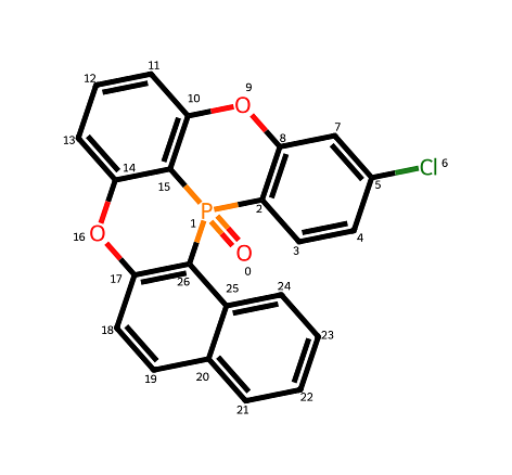 O=P12c3ccc(Cl)cc3Oc3cccc(c31)Oc1ccc3ccccc3c12